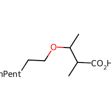 CCCCCCCOC(C)C(C)C(=O)O